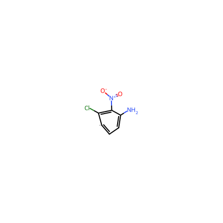 Nc1cc[c]c(Cl)c1[N+](=O)[O-]